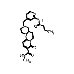 CCCC(=O)Nc1cc(CN2CCN3c4ccc(C(=O)NC)c(=O)n4CCC3C2)ccn1